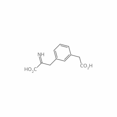 N=C(Cc1cccc(CC(=O)O)c1)C(=O)O